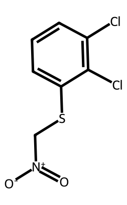 O=[N+]([O-])CSc1cccc(Cl)c1Cl